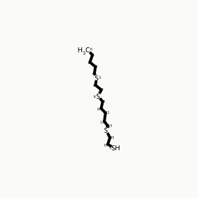 CCCCCSCCSCCCCCSCCS